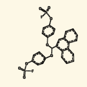 O=S(=O)(F)Oc1ccc(OC(Oc2ccc(OS(=O)(=O)F)cc2)c2cc3ccccc3c3ccccc23)cc1